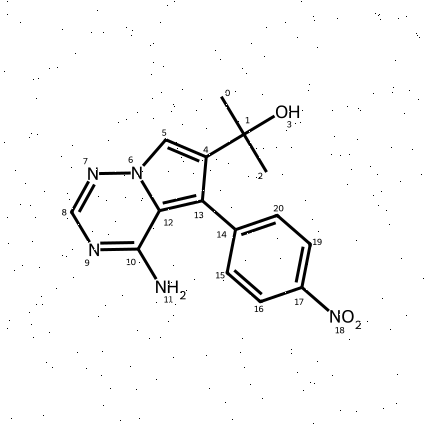 CC(C)(O)c1cn2ncnc(N)c2c1-c1ccc([N+](=O)[O-])cc1